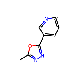 Cc1nnc(-c2cc[c]nc2)o1